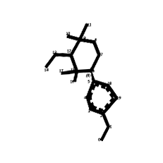 CCc1ccc([C@@H]2CCC(C)(C)C(CC)C2(C)C)cc1